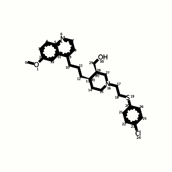 COc1ccc2nccc(CCC[C@@H]3CCN(CCSc4ccc(Cl)cc4)C[C@@H]3CO)c2c1